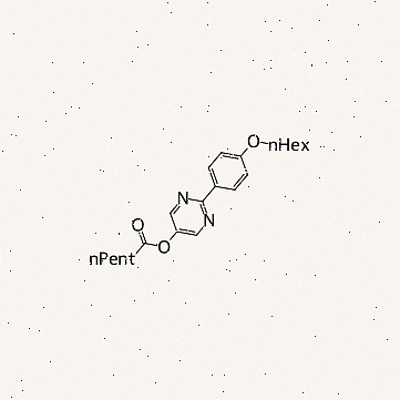 CCCCCCOc1ccc(-c2ncc(OC(=O)CCCCC)cn2)cc1